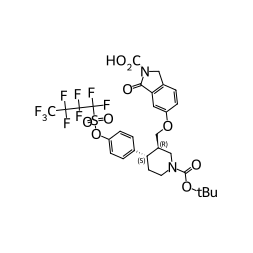 CC(C)(C)OC(=O)N1CC[C@H](c2ccc(OS(=O)(=O)C(F)(F)C(F)(F)C(F)(F)C(F)(F)F)cc2)[C@@H](COc2ccc3c(c2)C(=O)N(C(=O)O)C3)C1